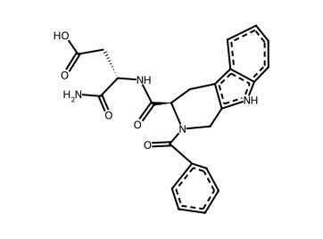 NC(=O)[C@H](CC(=O)O)NC(=O)[C@H]1Cc2c([nH]c3ccccc23)CN1C(=O)c1ccccc1